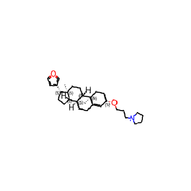 C[C@]12CC[C@H]3[C@@H](CCC4=C[C@@H](OCCCN5CCCC5)CC[C@@]43C)[C@@H]1CC[C@@H]2c1ccoc1